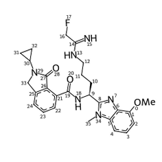 COc1cccc2c1nc([C@H](CCCNC(=N)CF)NC(=O)c1cccc3c1C(=O)N(C1CC1)C3)n2C